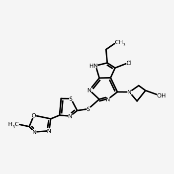 CCc1[nH]c2nc(Sc3nc(-c4nnc(C)o4)cs3)nc(N3CC(O)C3)c2c1Cl